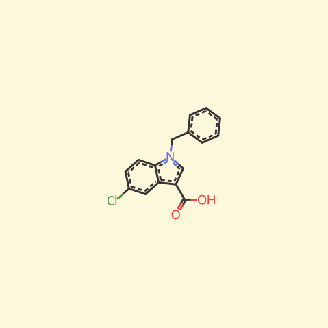 O=C(O)c1cn(Cc2ccccc2)c2ccc(Cl)cc12